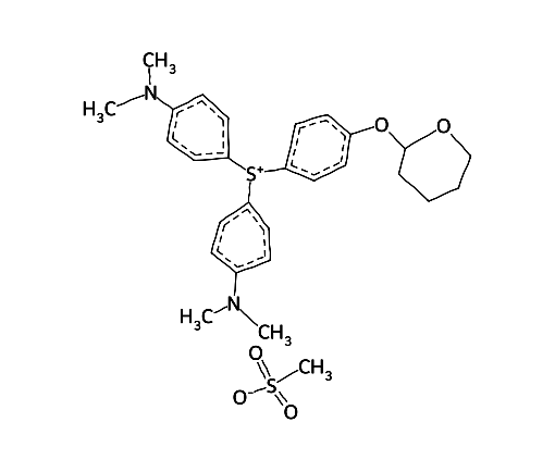 CN(C)c1ccc([S+](c2ccc(OC3CCCCO3)cc2)c2ccc(N(C)C)cc2)cc1.CS(=O)(=O)[O-]